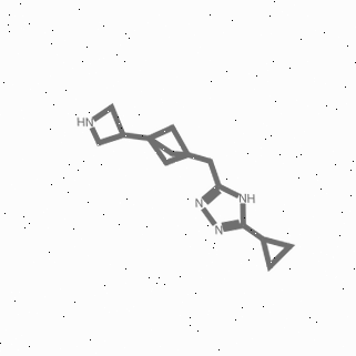 C1CC1c1nnc(CC23CC(C4CNC4)(C2)C3)[nH]1